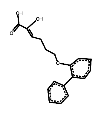 O=C(O)C(O)=CCCCOc1ccccc1-c1ccccc1